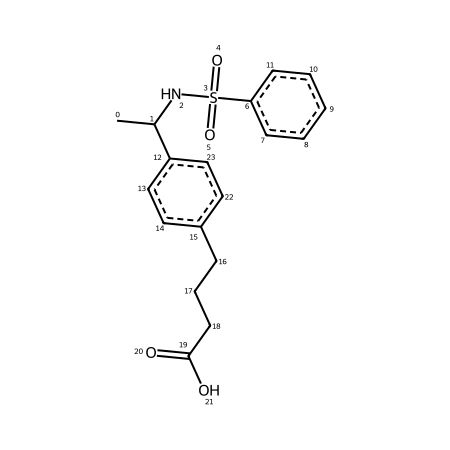 CC(NS(=O)(=O)c1ccccc1)c1ccc(CCCC(=O)O)cc1